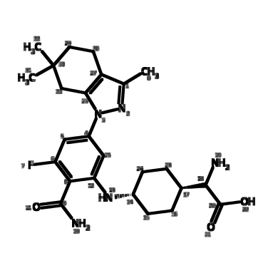 Cc1nn(-c2cc(F)c(C(N)=O)c(N[C@H]3CC[C@H](C(N)C(=O)O)CC3)c2)c2c1CCC(C)(C)C2